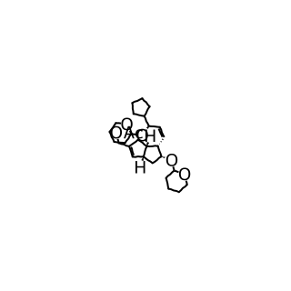 CC(=O)OCC1=C[C@H]2C[C@@H](OC3CCCCO3)[C@@H](/C=C\[C@@H](OC3CCCCO3)C3CCCC3)[C@H]2C1